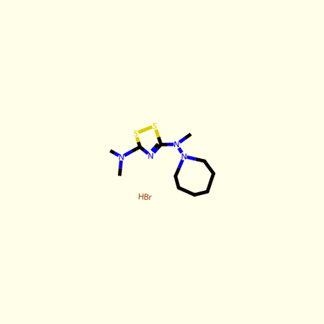 Br.CN(C)C1N=C(N(C)N2CCCCCC2)SS1